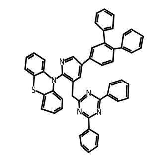 c1ccc(-c2nc(Cc3cc(-c4ccc(-c5ccccc5)c(-c5ccccc5)c4)cnc3N3c4ccccc4Sc4ccccc43)nc(-c3ccccc3)n2)cc1